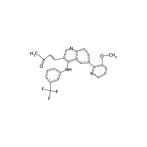 COc1cccnc1-c1ccc2ncc(/C=C/C(C)=O)c(Nc3cccc(C(F)(F)F)c3)c2c1